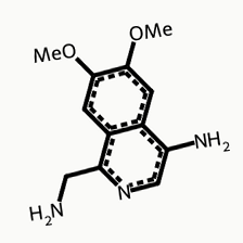 COc1cc2c(N)cnc(CN)c2cc1OC